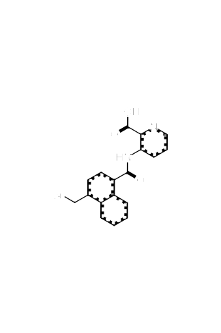 O=C(O)c1ncccc1NC(=O)c1ccc(CBr)c2ccccc12